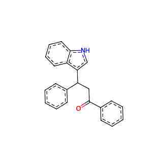 O=C(CC(c1ccccc1)c1c[nH]c2ccccc12)c1ccccc1